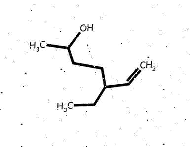 C=CC(CC)CCC(C)O